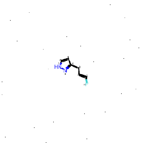 FC=CCc1cc[nH]n1